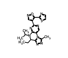 CCC1c2nnc(C)n2-c2cnc(-c3cnoc3-c3nccs3)nc2N1C(C)C